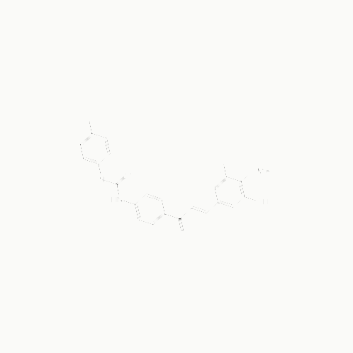 COc1c(C)cc(C=CC(=O)c2ccc(NC(=O)Nc3ccc(C)cc3)cc2)cc1C